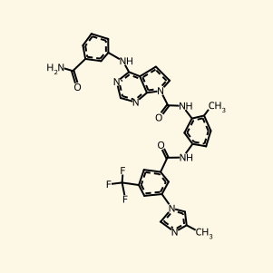 Cc1cn(-c2cc(C(=O)Nc3ccc(C)c(NC(=O)n4ccc5c(Nc6cccc(C(N)=O)c6)ncnc54)c3)cc(C(F)(F)F)c2)cn1